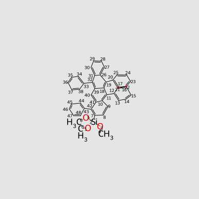 CO[Si](OC)(OC)c1ccc2c(-c3ccccc3)c3c(-c4ccccc4)c4ccccc4c(-c4ccccc4)c3cc2c1-c1ccccc1